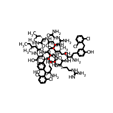 CC[C@H](C)[C@H](NC(=O)[C@H](Cc1ccc(O)c(Cc2c(Cl)cccc2Cl)c1)NC(C)=O)C(=O)N[C@@H](CC(N)=O)C(=O)N[C@@H](CC(C)C)C(=O)N[C@H](C(=O)N[C@@H](C(=O)N[C@@H](CCCNC(=N)N)C(=O)N[C@@H](CCC(N)=O)C(=O)N[C@@H](CCCNC(=N)N)C(=O)NC(=O)[C@@H](N)Cc1ccc(O)c(Cc2c(Cl)cccc2Cl)c1)[C@H](C)O)[C@@H](C)CC